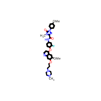 COc1ccc(-n2nc(C(=O)Nc3ccc(Oc4ccnc5cc(OCCCN6CCN(C)CC6)c(OC)cc45)c(F)c3)n(C)c2=O)cc1